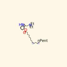 CCCCC/C=C\C/C=C\CCCCCCCC(=O)Oc1cccc2[nH]cc(CCN(CC)CC)c12